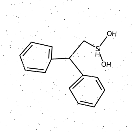 O[SiH](O)CC(c1ccccc1)c1ccccc1